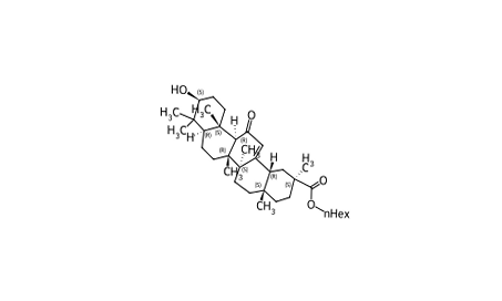 CCCCCCOC(=O)[C@@]1(C)CC[C@]2(C)CC[C@]3(C)C(=CC(=O)[C@@H]4[C@@]5(C)CC[C@H](O)C(C)(C)[C@@H]5CC[C@]43C)[C@@H]2C1